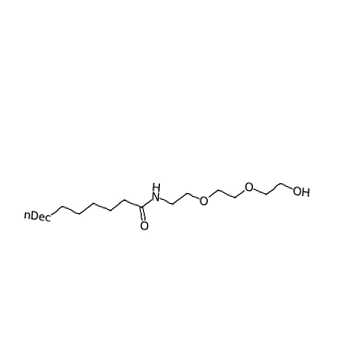 CCCCCCCCCCCCCCCC(=O)NCCOCCOCCO